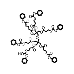 O=C(CCSC(=O)Oc1ccccc1)OCC(COCC(COC(=O)CCSC(=O)Oc1ccccc1)(COC(=O)CCSC(=O)Oc1ccccc1)COC(=O)CCSC(O)Oc1ccccc1)(COC(=O)CCSC(=O)Oc1ccccc1)COC(=O)CCSC(=O)Oc1ccccc1